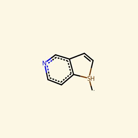 [CH2][SH]1C=Cc2cnccc21